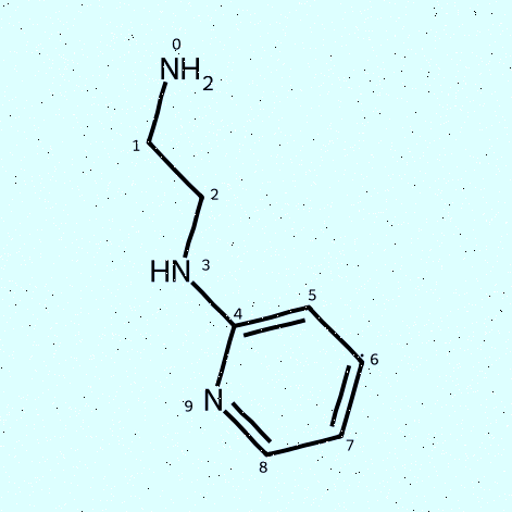 NCCNc1c[c]ccn1